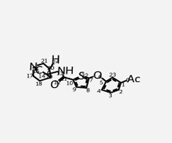 CC(=O)c1cccc(Oc2ccc(C(=O)N[C@H]3CN4CCC3CC4)s2)c1